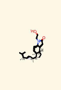 CC(C)[C@@H](C)/C=C/[C@@H](C)[C@H]1CC[C@H]2C3=CC(=O)N(CCO)C3=CC[C@]12C